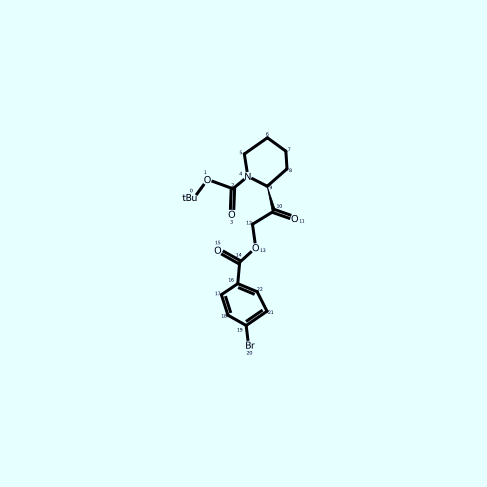 CC(C)(C)OC(=O)N1CCCC[C@H]1C(=O)COC(=O)c1ccc(Br)cc1